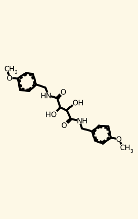 COc1ccc(CNC(=O)C(O)C(O)C(=O)NCc2ccc(OC)cc2)cc1